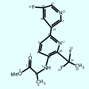 COC(=O)C(C)Nc1ccc(-c2cncc(F)c2)nc1C(C)(F)F